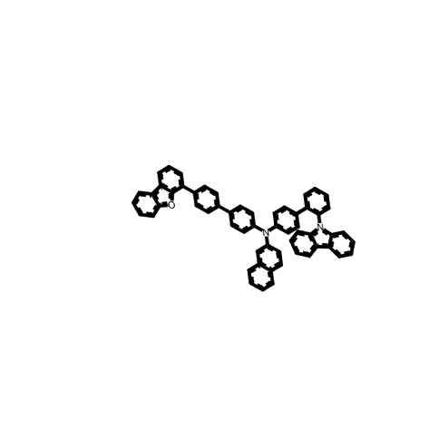 c1ccc(-n2c3ccccc3c3ccccc32)c(-c2ccc(N(c3ccc(-c4ccc(-c5cccc6c5oc5ccccc56)cc4)cc3)c3ccc4ccccc4c3)cc2)c1